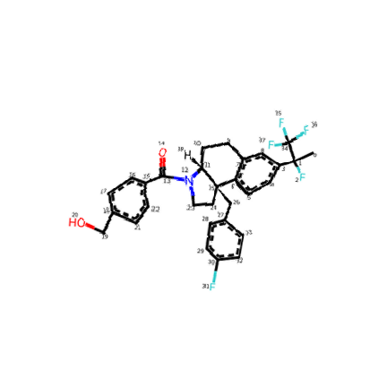 CC(F)(c1ccc2c(c1)CC[C@H]1N(C(=O)c3ccc(CO)cc3)CC[C@@]21Cc1ccc(F)cc1)C(F)(F)F